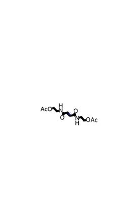 CC(=O)OCCNC(=O)/C=C/C(=O)NCCOC(C)=O